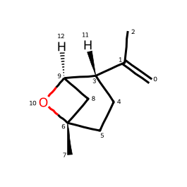 C=C(C)[C@@H]1CC[C@@]2(C)C[C@H]1O2